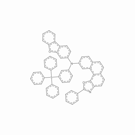 c1ccc(-c2nc3ccc4ccc5ccc(N(c6cccc(S(c7ccccc7)(c7ccccc7)c7ccccc7)c6)c6ccc7c(c6)oc6ccccc67)cc5c4c3o2)cc1